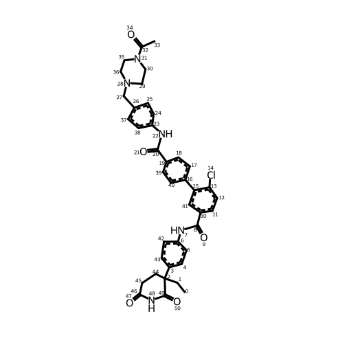 CCC1(c2ccc(NC(=O)c3ccc(Cl)c(-c4ccc(C(=O)Nc5ccc(CN6CCN(C(C)=O)CC6)cc5)cc4)c3)cc2)CCC(=O)NC1=O